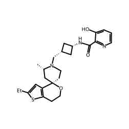 CCc1cc2c(s1)CCO[C@@]21CCN(C[C@H]2C[C@@H](NC(=O)c3ncccc3O)C2)[C@@H](C)C1